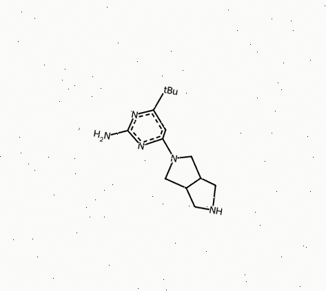 CC(C)(C)c1cc(N2CC3CNCC3C2)nc(N)n1